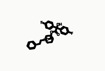 O=C(OC1C[N+]2(CCc3ccccc3)CCC1CC2)C(O)(c1ccc(F)cc1)c1ccc(F)cc1